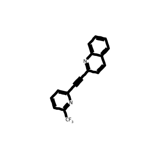 FC(F)(F)c1cccc(C#Cc2ccc3ccccc3n2)n1